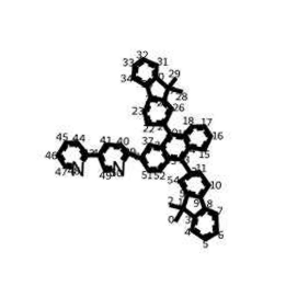 CC1(C)c2ccccc2-c2ccc(-c3c4ccccc4c(-c4ccc5c(c4)C(C)(C)c4ccccc4-5)c4cc(-c5ccc(-c6ccccn6)cn5)ccc34)cc21